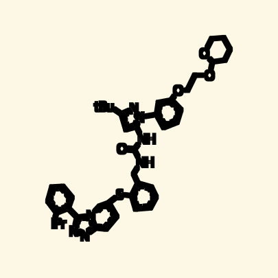 CC(C)c1ccccc1-c1nnc2ccc(Sc3ccccc3CNC(=O)Nc3cc(C(C)(C)C)nn3-c3cccc(OCCOC4CCCCO4)c3)cn12